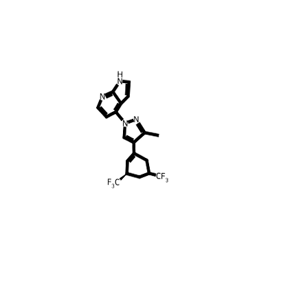 Cc1nn(-c2ccnc3[nH]ccc23)cc1C1=C[C@H](C(F)(F)F)CC(C(F)(F)F)C1